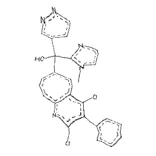 Cn1ccnc1C(O)(c1ccnnc1)c1ccc2nc(Cl)c(-c3ccccc3)c(Cl)c2c1